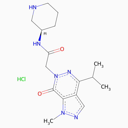 CC(C)c1nn(CC(=O)N[C@@H]2CCCNC2)c(=O)c2c1cnn2C.Cl